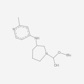 Cc1cc(NC2CCCN(C(O)OC(C)(C)C)C2)ccn1